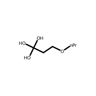 CCCOCCC(O)(O)O